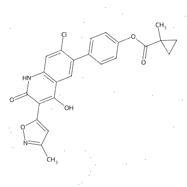 Cc1cc(-c2c(O)c3cc(-c4ccc(OC(=O)C5(C)CC5)cc4)c(Cl)cc3[nH]c2=O)on1